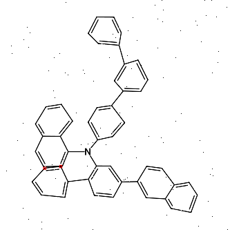 c1ccc(-c2cccc(-c3ccc(N(c4cc(-c5ccc6ccccc6c5)ccc4-c4ccccc4)c4cccc5ccccc45)cc3)c2)cc1